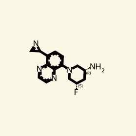 N[C@@H]1C[C@H](F)CN(c2ccc(C3C=N3)c3nccnc23)C1